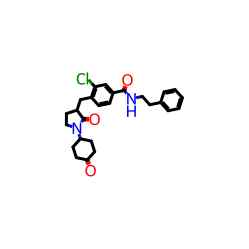 O=C1CCC(N2CCC(Cc3ccc(C(=O)NCCc4ccccc4)cc3Cl)C2=O)CC1